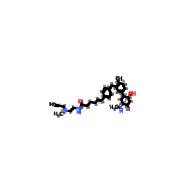 C#CCN(C)CCNC(=O)CCC/C=C/c1ccc(Cc2cc([C@@H]3C[C@H](NC)C(I)C[C@H]3O)ccc2C)cc1